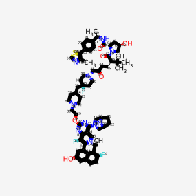 C#Cc1c(F)ccc2cc(O)cc(-c3ncc4c(N5CC6CCC(C5)N6)nc(OCCN5CCC(CC6(F)CCN(CC(=O)CC[C@H](C(=O)N7C[C@H](O)C[C@H]7C(=O)N[C@@H](C)c7ccc(-c8scnc8C)cc7)C(C)(C)C)CC6)CC5)nc4c3F)c12